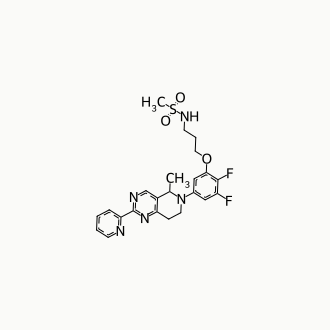 CC1c2cnc(-c3ccccn3)nc2CCN1c1cc(F)c(F)c(OCCCNS(C)(=O)=O)c1